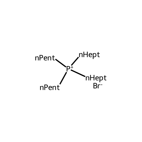 CCCCCCC[P+](CCCCC)(CCCCC)CCCCCCC.[Br-]